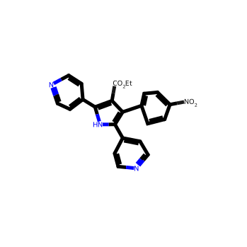 CCOC(=O)c1c(-c2ccncc2)[nH]c(-c2ccncc2)c1-c1ccc([N+](=O)[O-])cc1